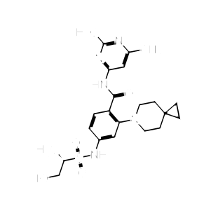 Cc1cc(NC(=O)c2ccc(NS(=O)(=O)[C@H](C)CO)cc2N2CCC3(CC2)CC3)nc(C)n1